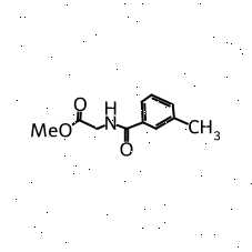 COC(=O)CNC(=O)c1cccc(C)c1